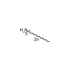 CCCCCCCCCCCCSC(N)=S.[Zn]